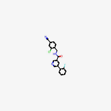 N#Cc1ccc(CNC(=O)c2cncc(-c3ccccc3F)c2)c(Cl)c1